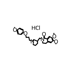 COc1ccc(OCCCN2CCCC(CN3CCc4cc(OC)c(OC)cc4C3=O)C2)cc1.Cl